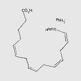 CCCCC/C=C\C/C=C\C/C=C\C/C=C\CCCC(=O)O.[PbH2]